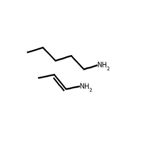 CC=CN.CCCCCN